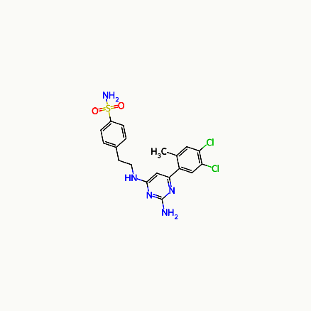 Cc1cc(Cl)c(Cl)cc1-c1cc(NCCc2ccc(S(N)(=O)=O)cc2)nc(N)n1